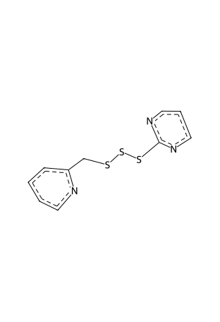 c1ccc(CSSSc2ncccn2)nc1